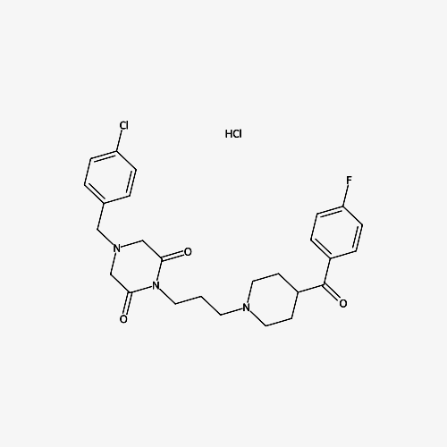 Cl.O=C(c1ccc(F)cc1)C1CCN(CCCN2C(=O)CN(Cc3ccc(Cl)cc3)CC2=O)CC1